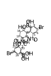 O=C(O)CN(C(=O)c1cc(Br)cc(B(O)O)c1)C1CCCCC1NC(=O)c1cc(Br)cc(B(O)O)c1